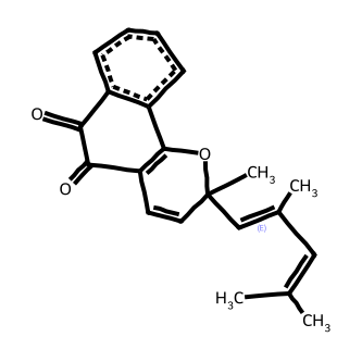 CC(C)=C/C(C)=C/C1(C)C=CC2=C(O1)c1ccccc1C(=O)C2=O